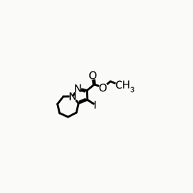 CCOC(=O)c1nn2c(c1I)CCCCC2